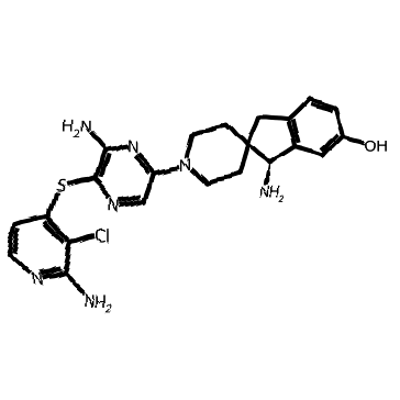 Nc1nc(N2CCC3(CC2)Cc2ccc(O)cc2[C@H]3N)cnc1Sc1ccnc(N)c1Cl